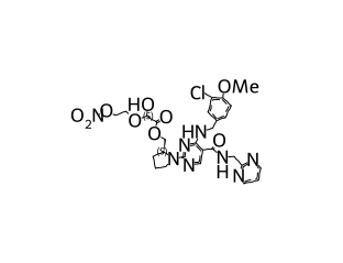 COc1ccc(CNc2nc(N3CCC[C@H]3COC(=O)[C@@H](O)OCCO[N+](=O)[O-])ncc2C(=O)NCc2ncccn2)cc1Cl